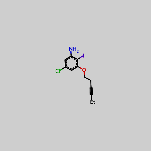 CCC#CCCOc1cc(Cl)cc(N)c1I